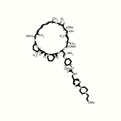 COCCN1CCN(c2ncc(CNC(=O)O[C@@H]3CC[C@@H](C[C@@H](N)[C@@H]4C[C@@H](OC)[C@H](C)/C=C(\C)[C@@H](O)[C@@H](OC)C(=O)[C@H](C)C[C@H](C)/C=C/C=C/C=C(\C)[C@@H](OC)C[C@@H]5CC[C@@H](C)[C@@](O)(O5)C(=O)C(=O)N5CCCC[C@H]5C(=O)O4)C[C@H]3OC)cn2)CC1